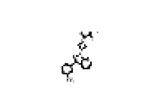 C=C(F)C(=O)N1CC(n2nc(-c3cccc(C(F)(F)F)c3)c3cccnc32)C1